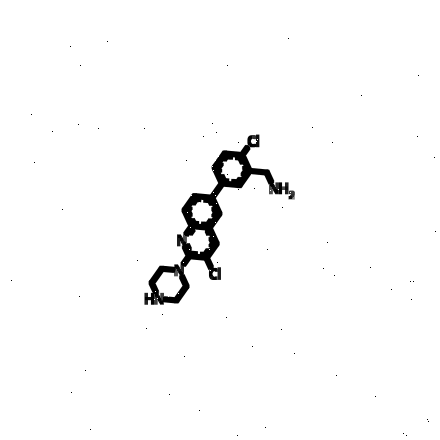 NCc1cc(-c2ccc3nc(N4CCNCC4)c(Cl)cc3c2)ccc1Cl